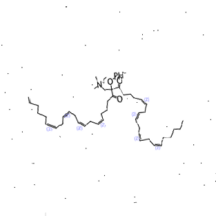 CCCCC/C=C\C/C=C\C/C=C\C/C=C\CCCC(=O)C(C[N+](C)(C)C)(O[PH-])C(=O)CCC/C=C\C/C=C\C/C=C\C/C=C\CCCCC